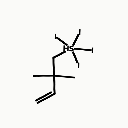 C=CC(C)(C)C[SH](I)(I)(I)I